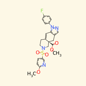 COC(=O)[C@]12Cc3cnn(-c4ccc(F)cc4)c3C=C1CCN(S(=O)(=O)c1ccc(OC)nc1)C2